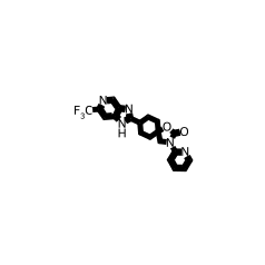 O=C1OC2(CCC(c3nc4cnc(C(F)(F)F)cc4[nH]3)CC2)CN1c1ccccn1